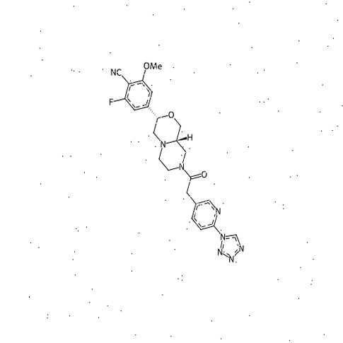 COc1cc([C@H]2CN3CCN(C(=O)Cc4ccc(-n5cnnn5)nc4)C[C@H]3CO2)cc(F)c1C#N